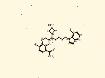 Cl.NC(=O)c1ccc(F)c2c1CC(N(CCCCn1ccc3cccc(F)c31)C1CCC1)CO2